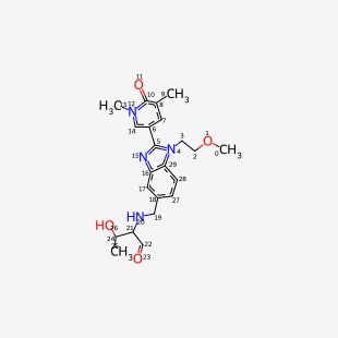 COCCn1c(-c2cc(C)c(=O)n(C)c2)nc2cc(CNC(C=O)C(C)O)ccc21